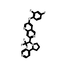 Fc1ccc(Oc2cnc3cc(C(N4CCCC4c4ccncc4)C(F)(F)F)ncc3c2)c(F)c1